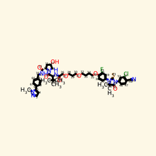 Cn1nccc1-c1ccc(CNC(=O)[C@@H]2C[C@@H](O)CN2C(=O)[C@@H](NC(=O)COCCCOCCCCOc2ccc(N3C(=S)N(c4ccc(C#N)c(Cl)c4)C(=O)C3(C)C)cc2F)C(C)(C)C)cc1